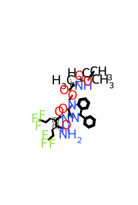 C[C@H](NC(=O)OC(C)(C)C)C(=O)OCN1C(=O)[C@@H](NC(=O)[C@H](CCC(F)(F)F)[C@H](CCC(F)(F)F)C(N)=O)N=C(c2ccccc2)c2ccccc21